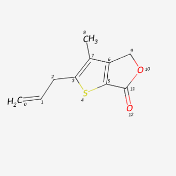 C=CCc1sc2c(c1C)COC2=O